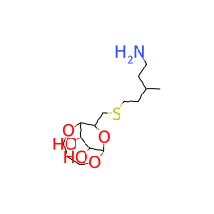 CC(CCN)CCSCC1OC2OCCCOC1C(O)C2O